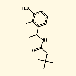 Bc1cccc(C(C)NC(=O)OC(C)(C)C)c1F